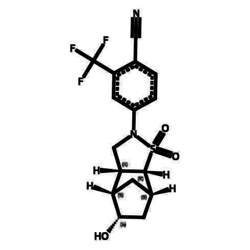 N#Cc1ccc(N2C[C@H]3[C@@H]4C[C@@H](C[C@@H]4O)[C@H]3S2(=O)=O)cc1C(F)(F)F